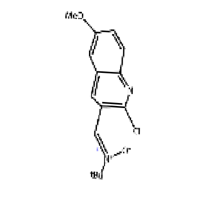 COc1ccc2nc(Cl)c(/C=[N+](\[O-])C(C)(C)C)cc2c1